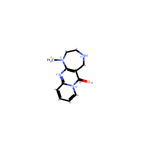 CN1CCNCc2c1nc1ccccn1c2=O